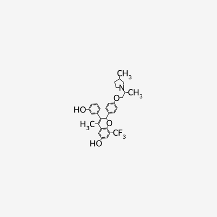 CC1=C(c2cccc(O)c2)C(c2ccc(OC[C@H](C)N3CC[C@@H](C)C3)cc2)Oc2c1cc(O)cc2C(F)(F)F